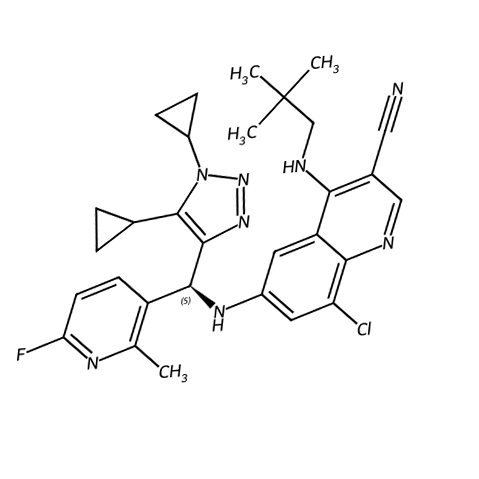 Cc1nc(F)ccc1[C@H](Nc1cc(Cl)c2ncc(C#N)c(NCC(C)(C)C)c2c1)c1nnn(C2CC2)c1C1CC1